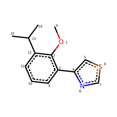 COc1c(-c2cscn2)cccc1C(C)C